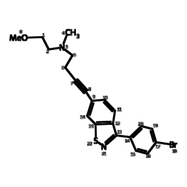 COCCN(C)CCC#Cc1ccc2c(-c3ccc(Br)cc3)nsc2c1